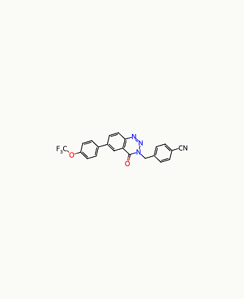 N#Cc1ccc(Cn2nnc3ccc(-c4ccc(OC(F)(F)F)cc4)cc3c2=O)cc1